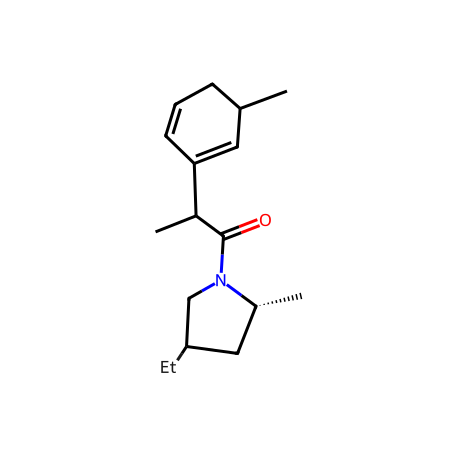 CCC1C[C@@H](C)N(C(=O)C(C)C2=CC(C)CC=C2)C1